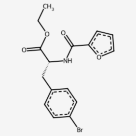 CCOC(=O)[C@@H](Cc1ccc(Br)cc1)NC(=O)c1ccco1